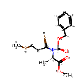 COC(=O)[C@H](C)N(C(=O)OCc1ccccc1)C(=S)CCSC